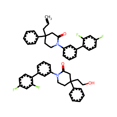 C=CCC1(c2ccccc2)CCN(c2cccc(-c3ccc(F)cc3F)c2)C(=O)C1.O=C1CC(CCO)(c2ccccc2)CCN1c1cccc(-c2ccc(F)cc2F)c1